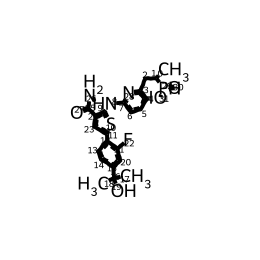 CC(Cc1cccc(Nc2sc(-c3ccc(C(C)(C)O)cc3F)cc2C(N)=O)n1)[PH](=O)O